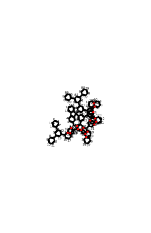 c1ccc(-c2cc(-c3ccccc3)cc(-c3cccc(-c4nc(-c5cc(-c6ccccc6)cc(-c6ccccc6)c5)nc(-c5ccc6c(c5)C(c5cc(-c7cc(-c8ccccc8)cc(-c8ccccc8)c7)cc(-c7cc(-c8ccccc8)cc(-c8ccccc8)c7)c5)(c5cc(-c7cc(-c8ccccc8)cc(-c8ccccc8)c7)cc(-c7cc(-c8ccccc8)cc(-c8ccccc8)c7)c5)c5ccccc5-6)n4)c3)c2)cc1